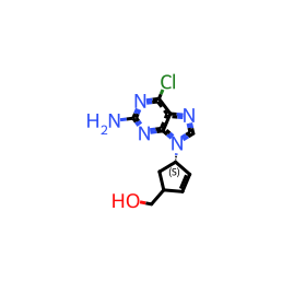 Nc1nc(Cl)c2ncn([C@@H]3C=CC(CO)C3)c2n1